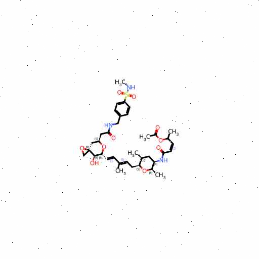 CNS(=O)(=O)c1ccc(CNC(=O)C[C@@H]2C[C@@]3(CO3)[C@H](O)[C@@H](/C=C/C(C)=C/C[C@@H]3O[C@H](C)[C@H](NC(=O)/C=C\C(C)OC(C)=O)C[C@@H]3C)O2)cc1